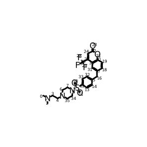 CN(C)CCN1CCN(S(=O)(=O)c2ccc(Cc3ccc4oc(=O)cc(C(F)(F)F)c4c3)cc2)CC1